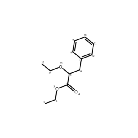 CCOC(=O)C(Cc1[c]cccc1)OCC